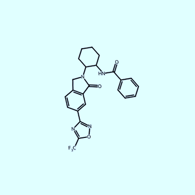 O=C(NC1CCCCC1N1Cc2ccc(-c3noc(C(F)(F)F)n3)cc2C1=O)c1ccccc1